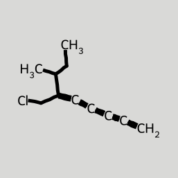 C=C=C=C=C=C(CCl)C(C)CC